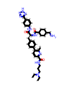 CCN(CC)CCCNC(=O)c1ccc(-c2ccc(C[C@H](NC(=O)C3CCC(CN)CC3)C(=O)Nc3ccc(-c4nn[nH]n4)cc3)cc2)c(C)n1